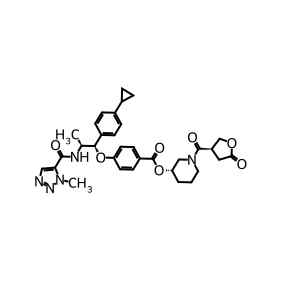 C[C@H](NC(=O)c1cnnn1C)[C@H](Oc1ccc(C(=O)O[C@H]2CCCN(C(=O)[C@H]3COC(=O)C3)C2)cc1)c1ccc(C2CC2)cc1